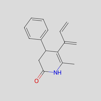 C=CC(=C)C1=C(C)NC(=O)CC1c1ccccc1